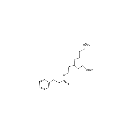 CCCCCCCCCCCCCCC(CCCCCCCCCCCC)CCOC(=O)CCc1ccccc1